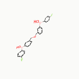 OB(c1ccc(F)cc1)c1cccc(COCc2cccc(B(O)c3ccc(F)cc3)c2)c1